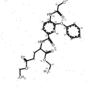 CCOC(=O)CCC(NC(=O)c1ccc(NC(=O)CCl)c(Oc2ccccc2)n1)C(=O)OCC